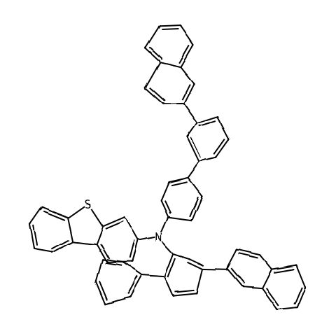 c1ccc(-c2ccc(-c3ccc4ccccc4c3)cc2N(c2ccc(-c3cccc(-c4ccc5ccccc5c4)c3)cc2)c2ccc3c(c2)sc2ccccc23)cc1